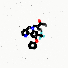 C=C(CN(Cc1cccnc1)c1ccc(Oc2ccccc2)c(C(F)(F)F)c1)C(C)=O